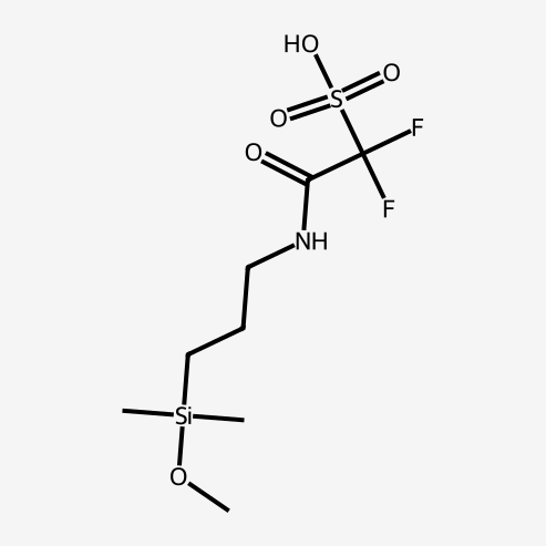 CO[Si](C)(C)CCCNC(=O)C(F)(F)S(=O)(=O)O